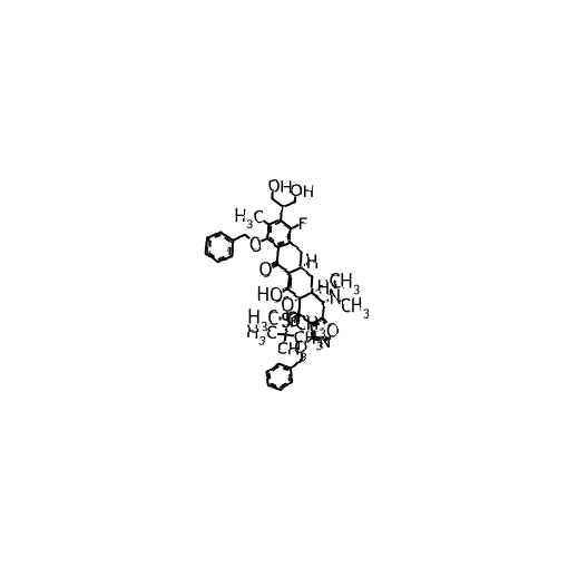 Cc1c(OCc2ccccc2)c2c(c(F)c1C(CO)CO)C[C@H]1C[C@H]3[C@H](N(C)C)c4onc(OCc5ccccc5)c4C(=O)[C@@]3(O[Si](C)(C)C(C)(C)C)C(O)=C1C2=O